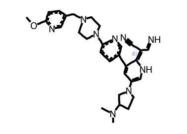 COc1ccc(CN2CCN(c3ccc(C4=CC(N5CCC(N(C)C)C5)=CN/C4=C(/C#N)C=N)cn3)CC2)cn1